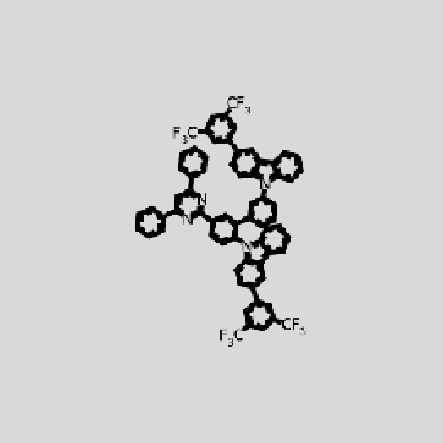 FC(F)(F)c1cc(-c2ccc3c(c2)c2ccccc2n3-c2cccc(-c3cc(-c4nc(-c5ccccc5)cc(-c5ccccc5)n4)ccc3-n3c4ccccc4c4cc(-c5cc(C(F)(F)F)cc(C(F)(F)F)c5)ccc43)c2)cc(C(F)(F)F)c1